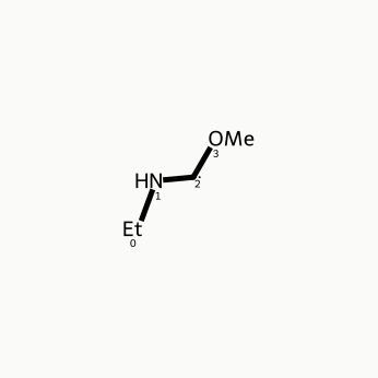 CCN[CH]OC